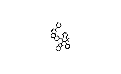 CC1(C)c2ccccc2N(c2ccc3ccc4ccc(-c5ccccc5)nc4c3n2)c2c1c1ccccc1c1c2oc2ccccc21